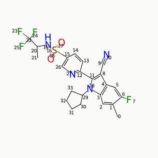 Cc1cc2c(cc1F)c(C#N)c(-c1ccc(S(=O)(=O)NC(C)C(F)(F)F)cn1)n2C1CCCC1